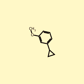 COc1[c]ccc(C2CC2)c1